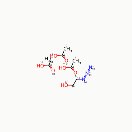 CC(=O)O.CC(=O)O.CC(=O)O.[N-]=[N+]=NCCO